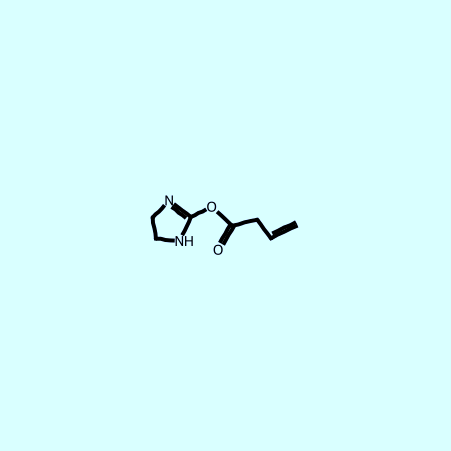 C=CCC(=O)OC1=NCCN1